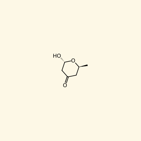 C[C@H]1CC(=O)C[C@H](O)O1